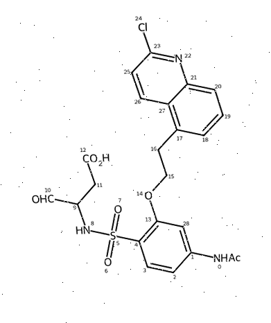 CC(=O)Nc1ccc(S(=O)(=O)NC(C=O)CC(=O)O)c(OCCc2cccc3nc(Cl)ccc23)c1